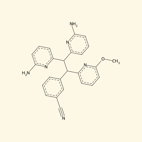 COc1cccc(C(c2cccc(C#N)c2)C(c2cccc(N)n2)c2cccc(N)n2)n1